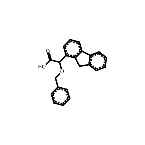 O=C(O)C(OCc1ccccc1)c1cccc2c1Cc1ccccc1-2